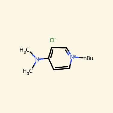 CCCC[n+]1ccc(N(C)C)cc1.[Cl-]